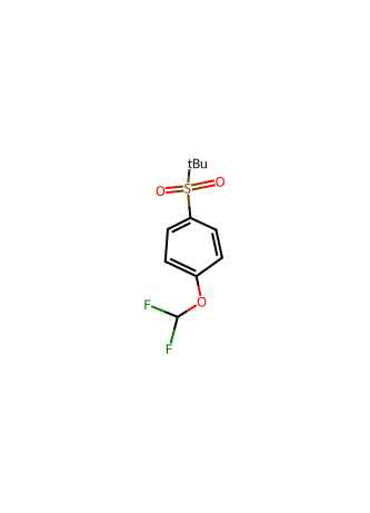 CC(C)(C)S(=O)(=O)c1ccc(OC(F)F)cc1